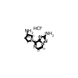 Cl.Nc1nc2c(N3CC[C@@H](N)C3)nccn2n1